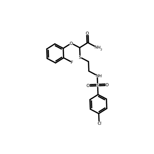 NC(=O)C(Oc1ccccc1F)SCCNS(=O)(=O)c1ccc(Cl)cc1